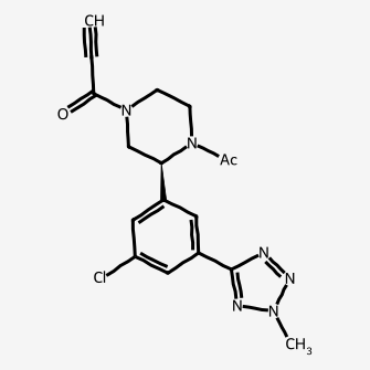 C#CC(=O)N1CCN(C(C)=O)[C@@H](c2cc(Cl)cc(-c3nnn(C)n3)c2)C1